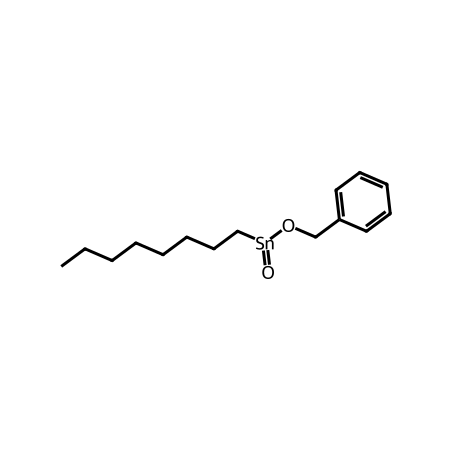 CCCCCCC[CH2][Sn](=[O])[O]Cc1ccccc1